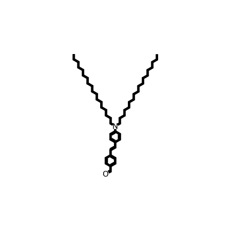 CCCCCCCCCCCCCCCCCCN(CCCCCCCCCCCCCCCCCC)c1ccc(C=Cc2ccc(C=O)cc2)cc1